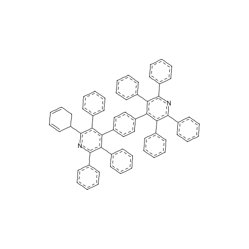 C1=CCC(c2nc(-c3ccccc3)c(-c3ccccc3)c(-c3ccc(-c4c(-c5ccccc5)c(-c5ccccc5)nc(-c5ccccc5)c4-c4ccccc4)cc3)c2-c2ccccc2)C=C1